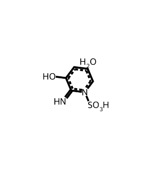 N=c1c(O)cccn1S(=O)(=O)O.O